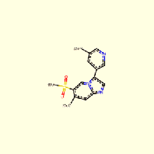 CNc1cncc(-c2cnc3cc(OC)c(S(=O)(=O)C(C)(C)C)cn23)c1